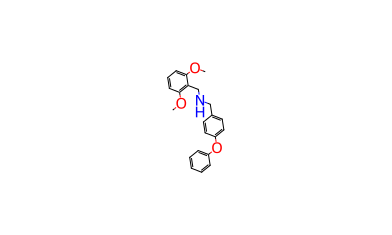 COc1cccc(OC)c1CNCc1ccc(Oc2ccccc2)cc1